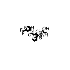 CC(CO)NS(=O)(=O)c1c(Cl)c(C(=O)Nc2ccnc(C(F)F)c2)n2c1C=CC2